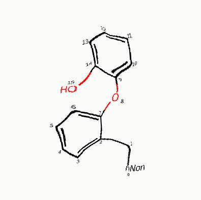 CCCCCCCCCCc1ccccc1Oc1ccccc1O